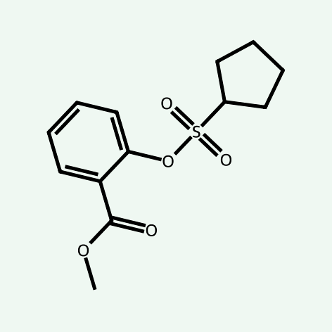 COC(=O)c1ccccc1OS(=O)(=O)C1CCCC1